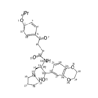 CC(C)Oc1ccc(C(=O)CCC(=O)N[C@H](CN2CCCC2)C(O)c2ccc3c(c2)OCCO3)cc1